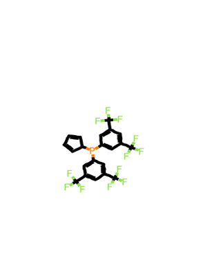 FC(F)(F)c1cc(P(c2cc(C(F)(F)F)cc(C(F)(F)F)c2)C2C=CC=C2)cc(C(F)(F)F)c1